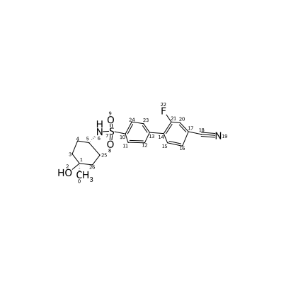 C[C@]1(O)CC[C@H](NS(=O)(=O)c2ccc(-c3ccc(C#N)cc3F)cc2)CC1